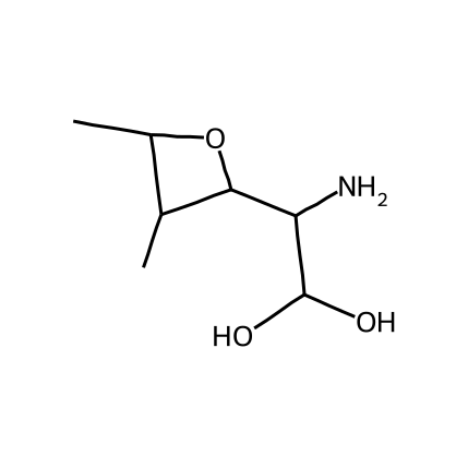 CC1OC(C(N)C(O)O)C1C